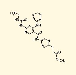 CCNC(=O)Nc1cc(Nc2ccccc2)c(C(=O)Nc2ccc(CCC(=O)OC)nc2)cn1